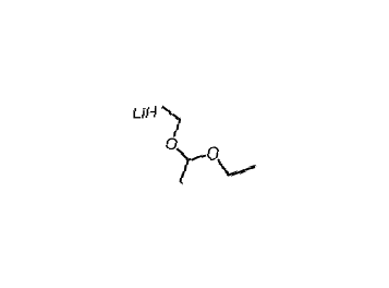 CCOC(C)OCC.[LiH]